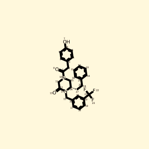 O=C(Cc1ccc(O)cc1)N1CC(=O)N(Cc2cccc(C(F)(F)F)c2)[C@@H](CCc2ccccc2)C1